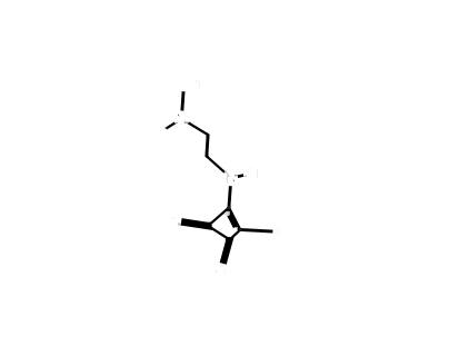 CCCN(CC)CCN(C)c1c(C(C)(C)C)c(=O)c1=S